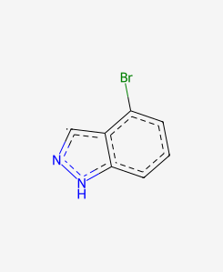 Brc1cccc2[nH]n[c]c12